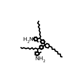 CCCCCCCCCC1CCC(c2ccc(C(CCCCCCCCC)c3ccc(N)cc3C)cc2)(c2ccc(C(CCCCCCCCC)c3ccc(N)cc3C)cc2)CC1